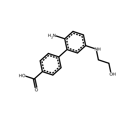 Nc1ccc(NCCO)cc1-c1ccc(C(=O)O)cc1